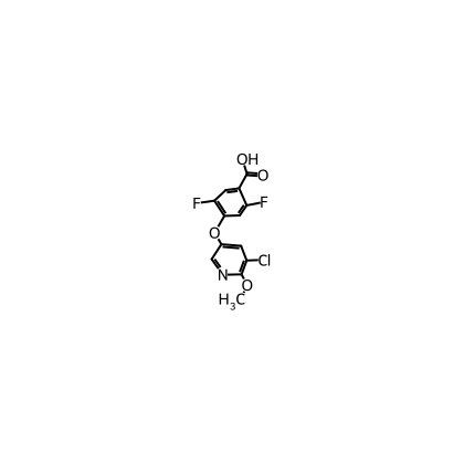 COc1ncc(Oc2cc(F)c(C(=O)O)cc2F)cc1Cl